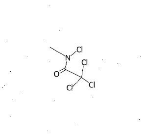 CN(Cl)C(=O)C(Cl)(Cl)Cl